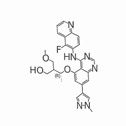 COCC(CO)[C@@H](C)Oc1cc(-c2cnn(C)c2)cc2ncnc(Nc3ccc4ncccc4c3F)c12